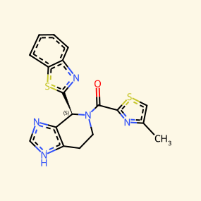 Cc1csc(C(=O)N2CCc3[nH]cnc3[C@H]2c2nc3ccccc3s2)n1